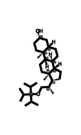 CC(C)[Si](OC[C@@H](C)[C@H]1CC[C@H]2[C@@H]3CC[C@H]4C[C@@H](O)CC[C@]4(C)[C@H]3CC[C@]12C)(C(C)C)C(C)C